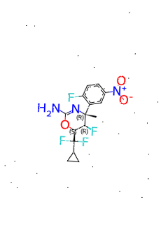 C[C@]1(c2cc([N+](=O)[O-])ccc2F)N=C(N)O[C@H](C(F)(F)C2CC2)[C@@H]1F